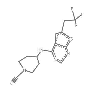 N#CN1CCC(Nc2ncnc3sc(CC(F)(F)F)cc23)CC1